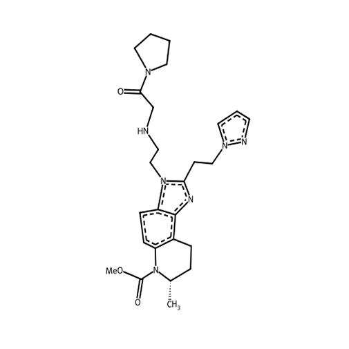 COC(=O)N1c2ccc3c(nc(CCn4cccn4)n3CCNCC(=O)N3CCCC3)c2CC[C@@H]1C